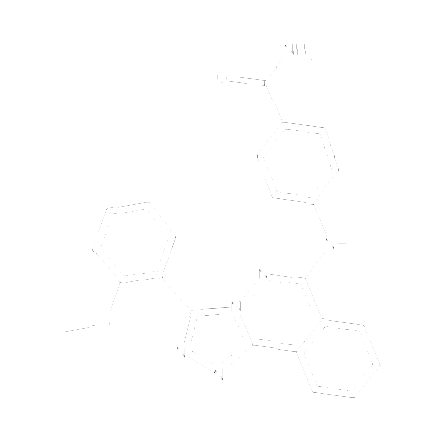 COc1ccccc1-c1nnc2c3ccccc3c(Nc3ccc(C(N)=O)cc3)nn12